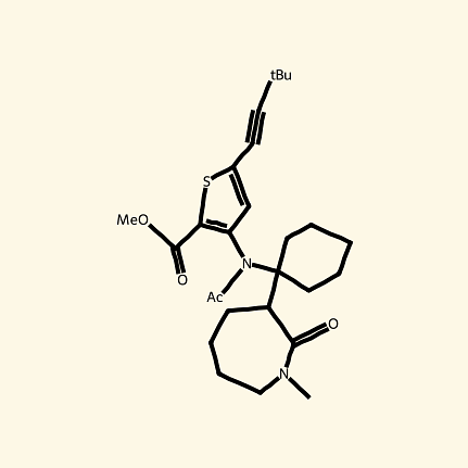 COC(=O)c1sc(C#CC(C)(C)C)cc1N(C(C)=O)C1(C2CCCCN(C)C2=O)CCCCC1